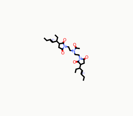 CC/C=C/C(CC)C1CC(=O)N(CCN(CCN2C(=O)CC(C(/C=C/CC)CC)C2=O)C(C)=O)C1=O